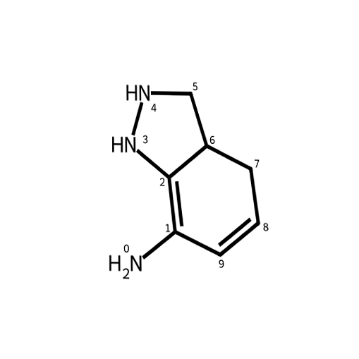 NC1=C2NNCC2CC=C1